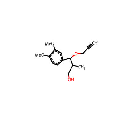 C#CCO[C@H](c1ccc(OC)c(OC)c1)C(C)CO